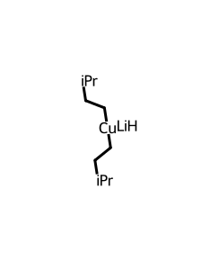 CC(C)C[CH2][Cu][CH2]CC(C)C.[LiH]